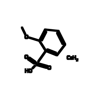 COc1ccccc1S(=O)(=O)O.[CaH2]